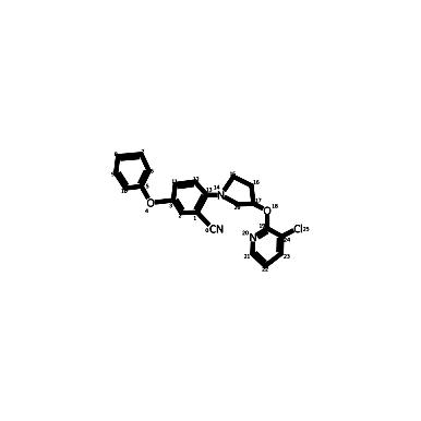 N#Cc1cc(Oc2ccccc2)ccc1N1CCC(Oc2ncccc2Cl)C1